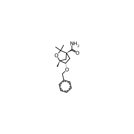 CC1(C)O[C@]2(C)C[C@@]1(C(N)=O)C[C@@H]2OCc1ccccc1